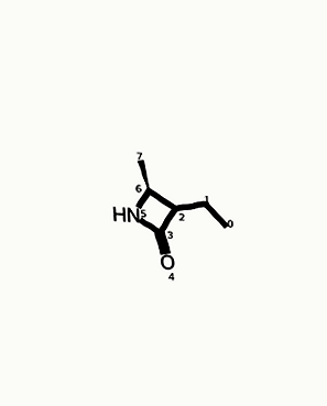 CCC1C(=O)N[C@H]1C